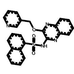 O=S(=O)(Nc1nc2ccccc2nc1OCc1cccnc1)c1cccc2ccccc12